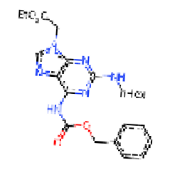 CCCCCCNc1nc(NC(=O)OCc2ccccc2)c2ncn(CC(=O)OCC)c2n1